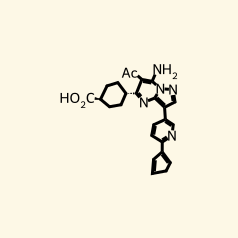 CC(=O)c1c(N)n2ncc(-c3ccc(C4=CCC=C4)nc3)c2nc1[C@H]1CC[C@H](C(=O)O)CC1